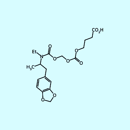 CCN(C(=O)OCOC(=O)OCCCC(=O)O)C(C)Cc1ccc2c(c1)OCO2